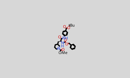 COC(=O)N1CCCC(C[C@H](NC(=O)OCc2ccccc2)C(=O)Nc2ccc(C(=O)OC(C)(C)C)cc2)C1